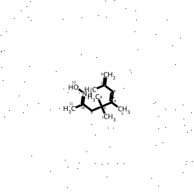 C=C(C)C=C(C)C(C)(C)CC(C)=NO